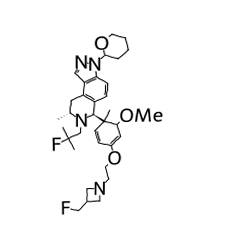 COC1C=C(OCCN2CC(CF)C2)C=CC1(C)[C@@H]1c2ccc3c(cnn3C3CCCCO3)c2C[C@@H](C)N1CC(C)(C)F